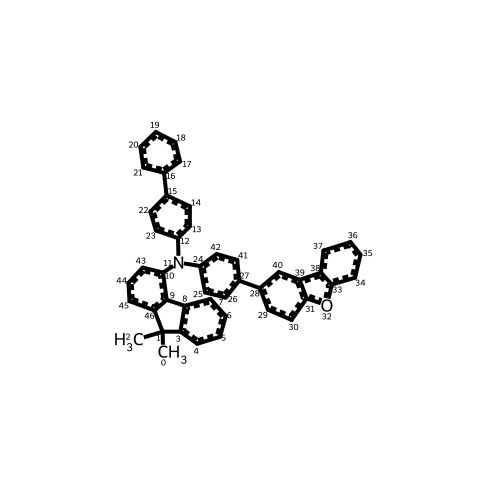 CC1(C)c2ccccc2-c2c(N(c3ccc(-c4ccccc4)cc3)c3ccc(-c4ccc5oc6ccccc6c5c4)cc3)cccc21